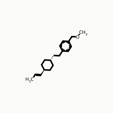 CC=C[C@H]1CC[C@H](CCc2ccc(COC)cc2)CC1